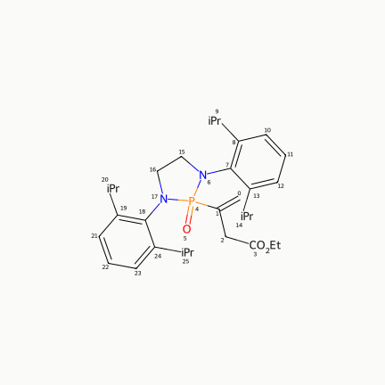 C=C(CC(=O)OCC)P1(=O)N(c2c(C(C)C)cccc2C(C)C)CCN1c1c(C(C)C)cccc1C(C)C